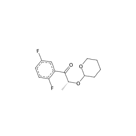 C[C@@H](OC1CCCCO1)C(=O)c1cc(F)ccc1F